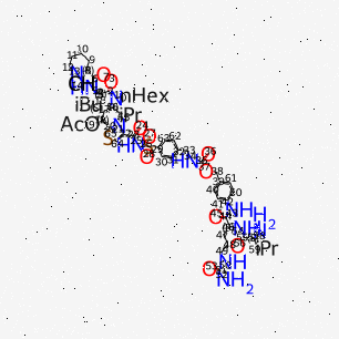 CCCCCCN(C(=O)[C@@H](NC(=O)[C@H]1CCCCN1C)[C@@H](C)CC)[C@H](C[C@@H](OC(C)=O)c1nc(C(=O)NS(=O)(=O)c2ccc(CNC(=O)OCc3ccc(NC(=O)[C@H](CCCNC(N)=O)NC(=O)[C@@H](N)C(C)C)cc3)cc2)cs1)C(C)C